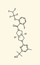 Cc1cc(C(C)(C)O)nc(N2C[C@H]3CN(C(=O)c4c(F)cccc4OC(F)(F)C(F)F)C[C@H]3C2)n1